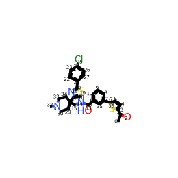 CC(=O)c1ccc(-c2cccc(C(=O)NCC3(c4csc(-c5ccc(Cl)cc5)n4)CCN(C)CC3)c2)s1